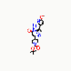 COc1ccc(-c2cnn3c(C4CCN(C(=O)OC(C)(C)C)CC4)cc(=O)[nH]c23)cn1